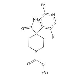 CC(C)(C)OC(=O)N1CCC(C(N)=O)(c2cc(Br)ncc2F)CC1